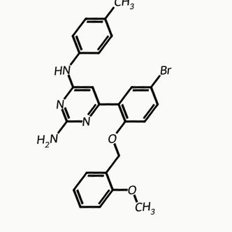 COc1ccccc1COc1ccc(Br)cc1-c1cc(Nc2ccc(C)cc2)nc(N)n1